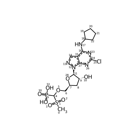 CS(=O)(=O)C(OC[C@@H]1C[C@@H](O)[C@H](n2ncc3c(NC4CCCC4)nc(Cl)nc32)O1)P(=O)(O)O